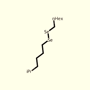 CCCCCCC[Se][Se]CCCCC(C)C